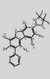 [2H]c1c(-c2ccccc2)c([2H])c2c(oc3c([2H])c(B4OC(C)(C)C(C)(C)O4)c([2H])c([2H])c32)c1[2H]